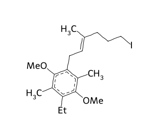 CCc1c(C)c(OC)c(C/C=C(\C)CCCI)c(C)c1OC